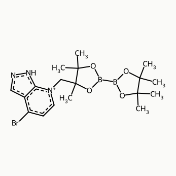 CC1(C)OB(B2OC(C)(C)C(C)(C[n+]3ccc(Br)c4cn[nH]c43)O2)OC1(C)C